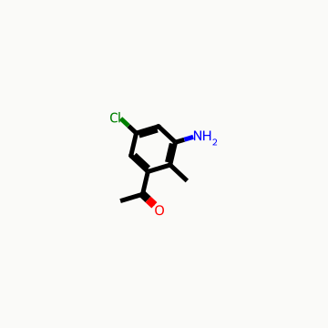 CC(=O)c1cc(Cl)cc(N)c1C